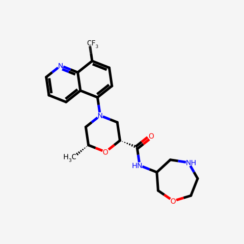 C[C@@H]1CN(c2ccc(C(F)(F)F)c3ncccc23)C[C@H](C(=O)NC2CNCCOC2)O1